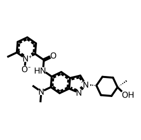 Cc1cccc(C(=O)Nc2cc3cn([C@H]4CC[C@](C)(O)CC4)nc3cc2N(C)C)[n+]1[O-]